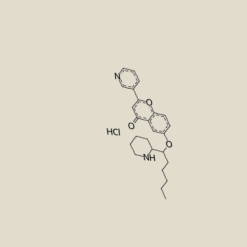 CCCCCC(Oc1ccc2oc(-c3cccnc3)cc(=O)c2c1)C1CCCCN1.Cl